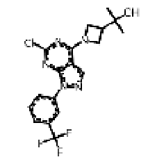 CC(C)(O)C1CN(c2nc(Cl)nc3c2cnn3-c2cccc(C(F)(F)F)c2)C1